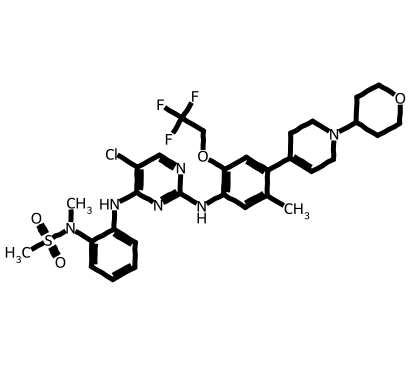 Cc1cc(Nc2ncc(Cl)c(Nc3ccccc3N(C)S(C)(=O)=O)n2)c(OCC(F)(F)F)cc1C1=CCN(C2CCOCC2)CC1